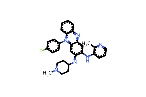 Cc1ncccc1Nc1cc2nc3ccccc3n(-c3ccc(F)cc3)c-2c/c1=N\C1CCN(C)CC1